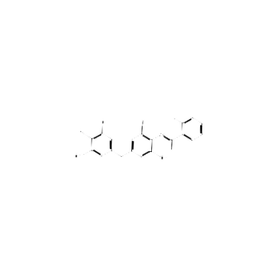 CC/C(=N\c1c(C(C)C)cc(Cc2cc(C(C)C)c(N)c(C(C)C)c2)cc1C(C)C)c1ccccc1O